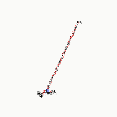 COCCOCCOCCOCCOCCOCCOCCOCCOCCOCCOCCOCCOCCOCCOCCOCCOCCOCCOCCOCCOCCOCCOCCOCCNC(=O)[C@H](CCC(=O)OC(C)(C)C)NC(=O)OCC1c2ccccc2-c2ccccc21